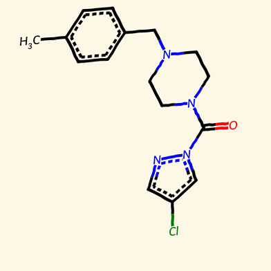 Cc1ccc(CN2CCN(C(=O)n3cc(Cl)cn3)CC2)cc1